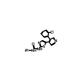 CC(C)NC(=O)Nc1ncc(-c2ccncc2-c2ccccc2Cl)s1